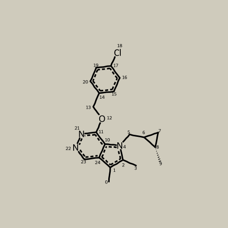 Cc1c(C)n(CC2C[C@@H]2C)c2c(OCc3ccc(Cl)cc3)nncc12